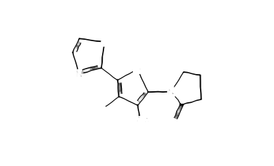 CC(=O)Oc1c(N2CCCC2=O)oc(-c2nccs2)c1O